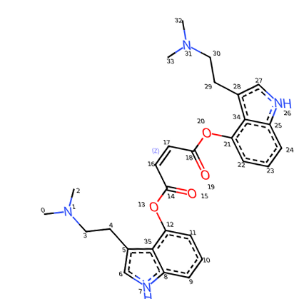 CN(C)CCc1c[nH]c2cccc(OC(=O)/C=C\C(=O)Oc3cccc4[nH]cc(CCN(C)C)c34)c12